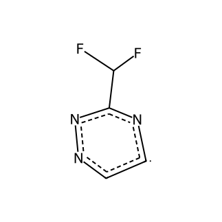 FC(F)c1n[c]cnn1